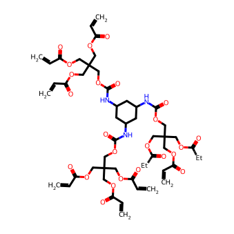 C=CC(=O)OCC(COC(=O)C=C)(COC(=O)C=C)COC(=O)NC1CC(NC(=O)OCC(COC(=O)C=C)(COC(=O)C=C)COC(=O)C=C)CC(NC(=O)OCC(COC(=O)C=C)(COC(=O)CC)COC(=O)CC)C1